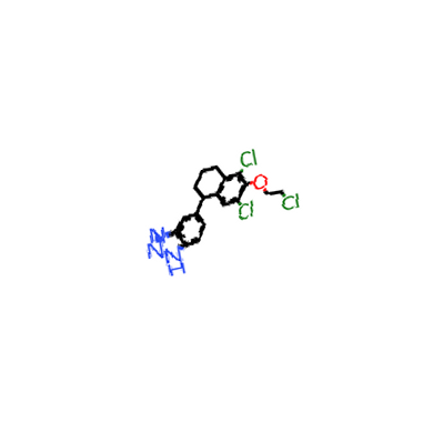 ClCCOc1c(Cl)cc2c(c1Cl)CCCC2c1ccc2[nH]nnc2c1